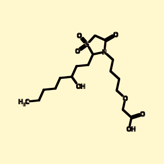 CCCCCC(O)CCC1N(CCCCOCC(=O)O)C(=O)CS1(=O)=O